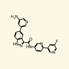 Nc1cncc(-c2ccc3[nH]nc(C(=O)Nc4ccc(-c5cncc(F)c5)nc4)c3c2)c1